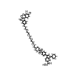 CCCCNc1ncc2c(-c3ccc(S(=O)(=O)N4CCN(CCOCCOCCOCCOCCCc5ccc6c(c5)n(C)c(=O)n6C5CCC(=O)NC5=O)CC4)cc3)cn(C3CCCCC3)c2n1